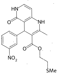 CSCCOC(=O)C1=C(C)Nc2cc[nH]c(=O)c2C1c1cccc([N+](=O)[O-])c1